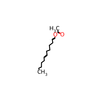 CCCCCC=CCCCCC=COC(C)=O